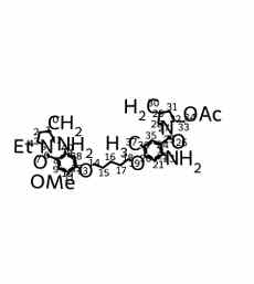 C=C1C[C@@H](CC)N(C(=O)c2cc(OC)c(OCCCCCOc3cc(N)c(C(=O)N4CC(=C)C[C@H]4COC(C)=O)cc3C)cc2N)C1